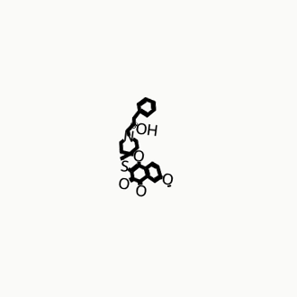 COc1ccc2c(c1)C(=O)C(=O)C1=C2OC2(CCN(C[C@@H](O)Cc3ccccc3)CC2)CS1